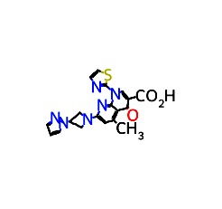 Cc1cc(N2CC(n3cccn3)C2)nc2c1c(=O)c(C(=O)O)cn2-c1nccs1